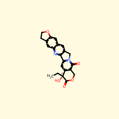 CC[C@@]1(O)C(=O)OCc2c1cc1n(c2=O)Cc2cc3cc4c(cc3nc2-1)CCO4